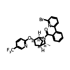 C[C@@H]1[C@H]2C[C@@H](Oc3ccc(C(F)(F)F)cn3)[C@H](C2)N1C(=O)c1ccccc1-c1cccc(Br)n1